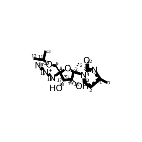 Cc1ccn([C@]2(C)O[C@@](COC(C)C)(N=[N+]=[N-])[C@@H](O)[C@H]2O)c(=O)n1